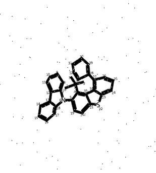 CC(C)(C)c1c(-n2c3ccccc3c3ccccc32)ccc2sc3cccc(-c4ccccc4)c3c12